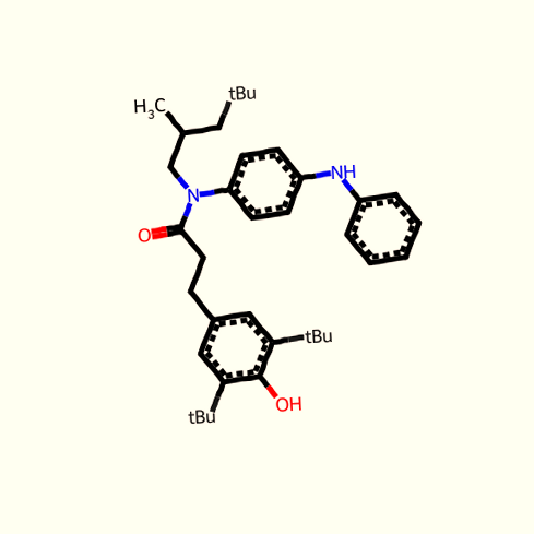 CC(CN(C(=O)CCc1cc(C(C)(C)C)c(O)c(C(C)(C)C)c1)c1ccc(Nc2ccccc2)cc1)CC(C)(C)C